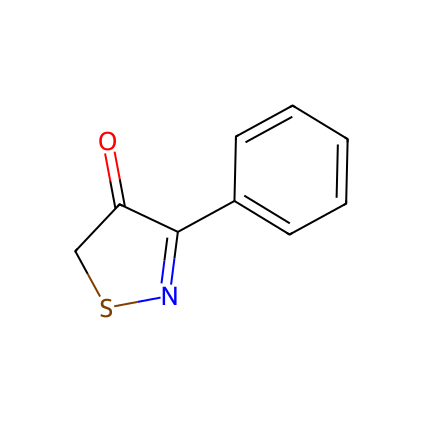 O=C1CSN=C1c1ccccc1